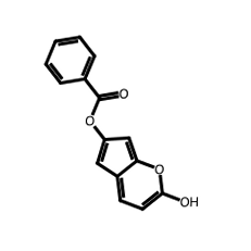 O=C(Oc1cc2ccc(O)oc-2c1)c1ccccc1